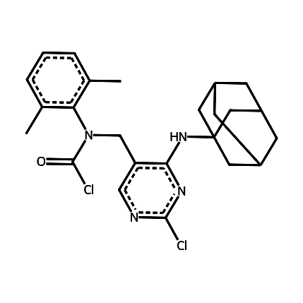 Cc1cccc(C)c1N(Cc1cnc(Cl)nc1NC12CC3CC(CC(C3)C1)C2)C(=O)Cl